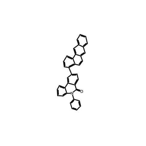 O=c1c2ccc(-c3cccc4c3ccc3cc5ccccc5cc34)cc2c2ccccc2n1-c1ccccc1